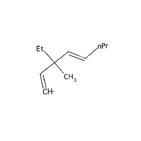 [CH]=CC(C)(C=CCCC)CC